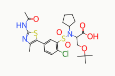 CC(=O)Nc1nc(C)c(-c2ccc(Cl)c(S(=O)(=O)N(C3CCCC3)C(COC(C)(C)C)C(=O)O)c2)s1